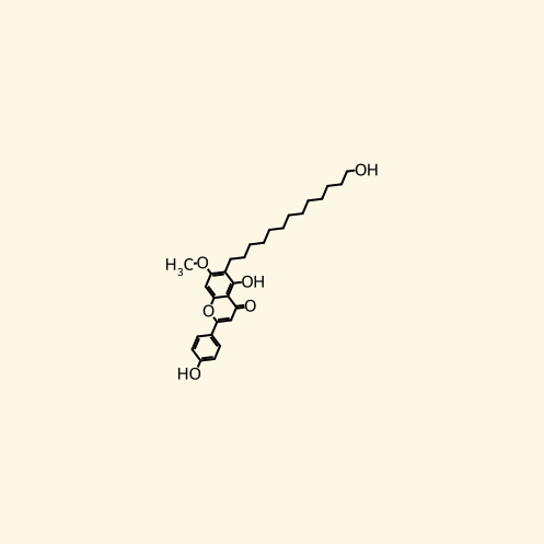 COc1cc2oc(-c3ccc(O)cc3)cc(=O)c2c(O)c1CCCCCCCCCCCCCO